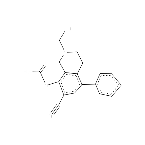 CCN1CCc2c(-c3ccccc3)cc(C#N)c(NC(C)=O)c2C1